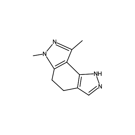 Cc1nn(C)c2c1-c1[nH]ncc1CC2